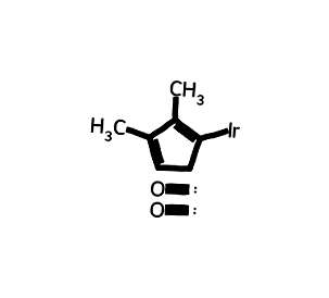 CC1=CC[C]([Ir])=C1C.[C]=O.[C]=O